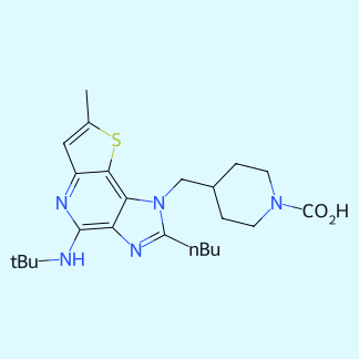 CCCCc1nc2c(NC(C)(C)C)nc3cc(C)sc3c2n1CC1CCN(C(=O)O)CC1